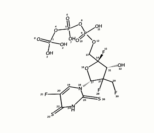 O=P(O)(O)OP(=O)(O)OP(=O)(O)OC[C@@]1(F)O[C@@H](n2cc(F)c(=S)[nH]c2=S)C(F)(CF)[C@H]1O